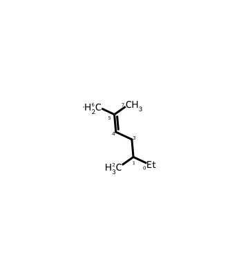 [CH2]CC(C)C/C=C(/[CH2])C